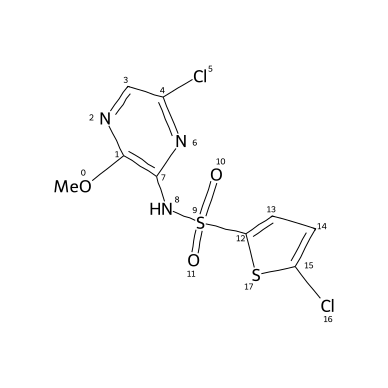 COc1ncc(Cl)nc1NS(=O)(=O)c1ccc(Cl)s1